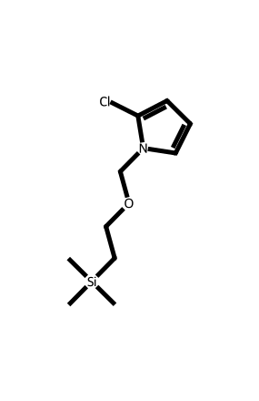 C[Si](C)(C)CCOCn1cccc1Cl